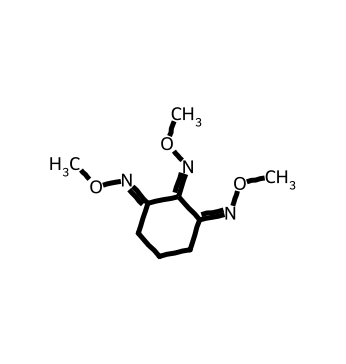 CO/N=C1/CCCC(=N\OC)/C1=N\OC